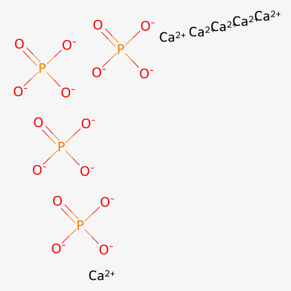 O=P([O-])([O-])[O-].O=P([O-])([O-])[O-].O=P([O-])([O-])[O-].O=P([O-])([O-])[O-].[Ca+2].[Ca+2].[Ca+2].[Ca+2].[Ca+2].[Ca+2]